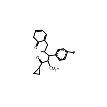 CC(CC1=CC=CCC1=O)C(c1ccc(F)cc1)C(C(=O)O)C(=O)C1CC1